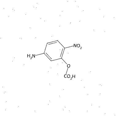 Nc1ccc([N+](=O)[O-])c(OC(=O)O)c1